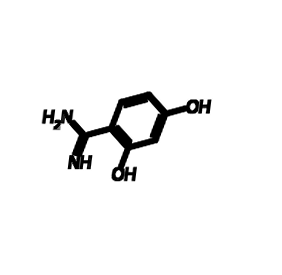 N=C(N)c1ccc(O)cc1O